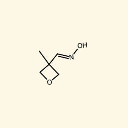 CC1(C=NO)COC1